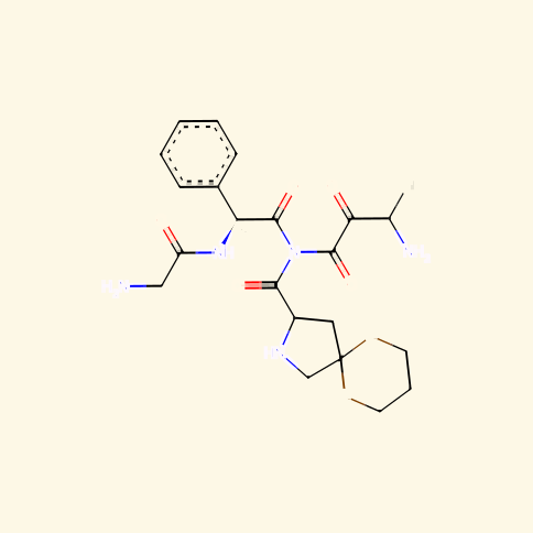 CCCC(N)C(=O)C(=O)N(C(=O)C1CC2(CN1)SCCCS2)C(=O)[C@@H](NC(=O)CN)c1ccccc1